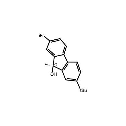 CC(C)c1ccc2c(c1)[C@](C)(O)c1cc(C(C)(C)C)ccc1-2